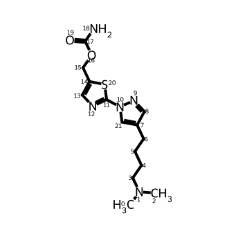 CN(C)CCCCc1cnn(-c2ncc(COC(N)=O)s2)c1